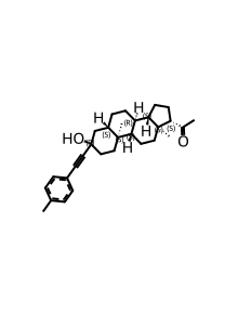 CC(=O)[C@H]1CC[C@H]2[C@@H]3CC[C@H]4C[C@@](O)(C#Cc5ccc(C)cc5)CC[C@]4(C)[C@H]3CC[C@]12C